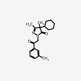 CC1=NN(CC(=O)c2cccc(C)c2)C(=O)C1(C)C1CCCCC1